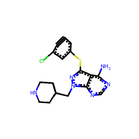 Nc1ncnc2c1c(Sc1cc#cc(Cl)c1)nn2CC1CCNCC1